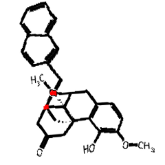 COc1ccc2c(c1O)[C@]13CCN(C)C(C2)[C@]1(OCc1ccc2ccccc2c1)CCC(=O)C3